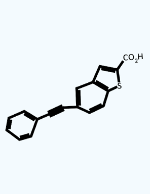 O=C(O)c1cc2cc(C#Cc3ccccc3)ccc2s1